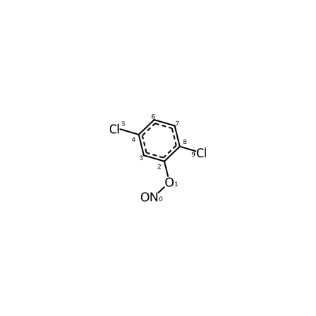 O=NOc1cc(Cl)ccc1Cl